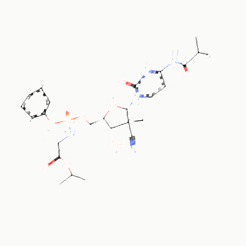 CC(C)OC(=O)[C@H](C)N[P@@](=O)(OC[C@H]1O[C@@H](n2ccc(NC(=O)C(C)C)nc2=O)[C@](C)(C#N)[C@@H]1O)Oc1ccccc1